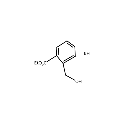 CCOC(=O)c1ccccc1CO.[KH]